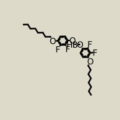 CCCCCCCCOc1ccc(OBOc2ccc(OCCCCCCCC)c(F)c2F)c(F)c1F